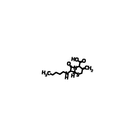 C=C1CS[C@@H]2C(NCCCCC)C(=O)N2C1C(=O)O